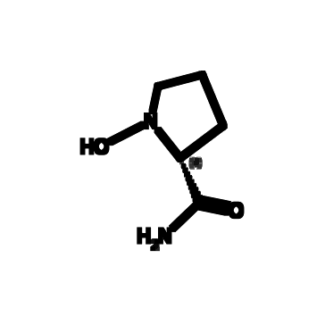 NC(=O)[C@H]1CCCN1O